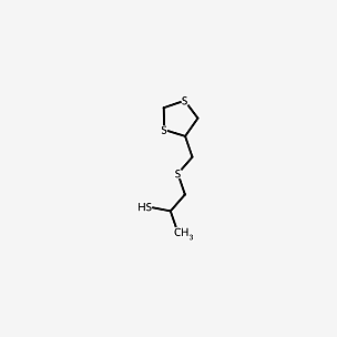 CC(S)CSCC1CSCS1